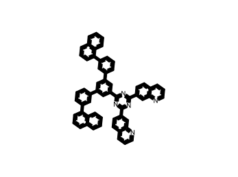 c1cc(-c2cc(-c3cccc(-c4cccc5ccccc45)c3)cc(-c3nc(-c4ccc5cccnc5c4)nc(-c4ccc5cccnc5c4)n3)c2)cc(-c2cccc3ccccc23)c1